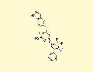 O=C(O)N[C@H](CNCC[C@H](c1cccnc1)C1(C(F)(F)F)CC1)Cc1ccc2[nH]ncc2c1